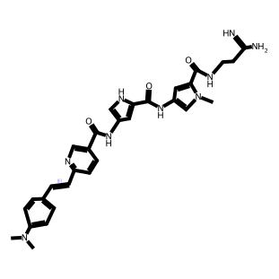 CN(C)c1ccc(/C=C/c2ccc(C(=O)Nc3c[nH]c(C(=O)Nc4cc(C(=O)NCCC(=N)N)n(C)c4)c3)cn2)cc1